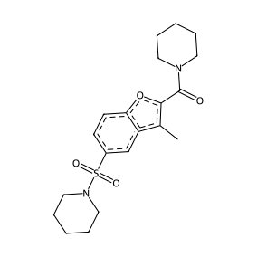 Cc1c(C(=O)N2CCCCC2)oc2ccc(S(=O)(=O)N3CCCCC3)cc12